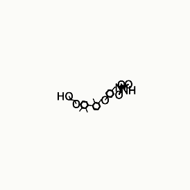 Cc1c(COc2ccc(Cn3oc(=O)[nH]c3=O)cc2)cccc1-c1ccc(OCCO)c(C)c1C